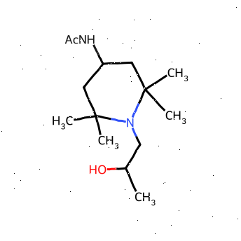 CC(=O)NC1CC(C)(C)N(CC(C)O)C(C)(C)C1